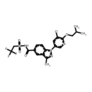 Cc1nn(-c2cnc(OCC(C)C)c(Cl)c2)c2ccc(C(=O)NS(=O)(=O)CC(F)(F)F)cc12